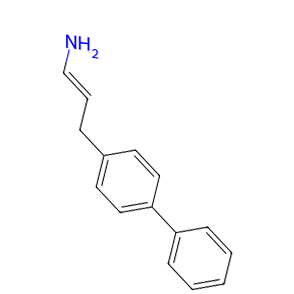 N/C=C/Cc1ccc(-c2ccccc2)cc1